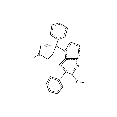 COc1nc2cccc(C(O)(CCN(C)C)c3ccccc3)c2cc1-c1ccccc1